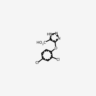 O=C(O)c1[nH]nnc1Oc1ccc(Cl)cc1Cl